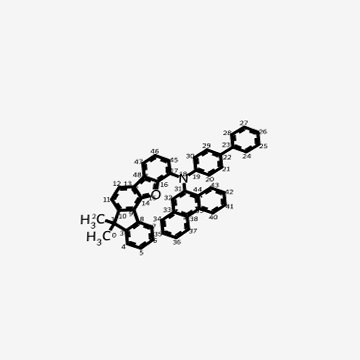 CC1(C)c2ccccc2-c2c1ccc1c2oc2c(N(c3ccc(-c4ccccc4)cc3)c3cc4ccccc4c4ccccc34)cccc21